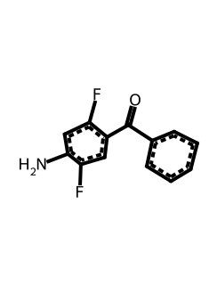 Nc1cc(F)c(C(=O)c2ccccc2)cc1F